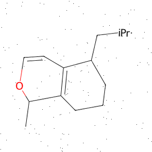 C[C](C)CC1CCCC2=C1C=COC2C